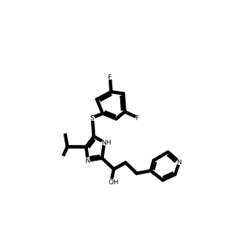 CC(C)c1nc(C(O)CCc2ccncc2)[nH]c1Sc1cc(F)cc(F)c1